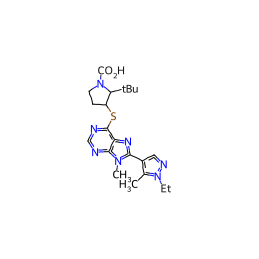 CCn1ncc(-c2nc3c(SC4CCN(C(=O)O)C4C(C)(C)C)ncnc3n2C)c1C